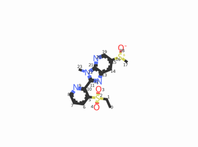 CCS(=O)(=O)c1cccnc1-c1nc2cc([S+](C)[O-])cnc2n1C